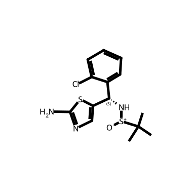 CC(C)(C)[S+]([O-])N[C@H](c1cnc(N)s1)c1ccccc1Cl